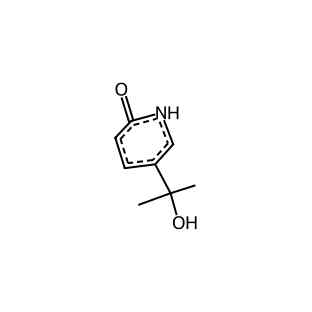 CC(C)(O)c1ccc(=O)[nH]c1